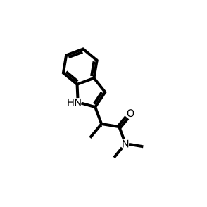 C[C](C(=O)N(C)C)c1cc2ccccc2[nH]1